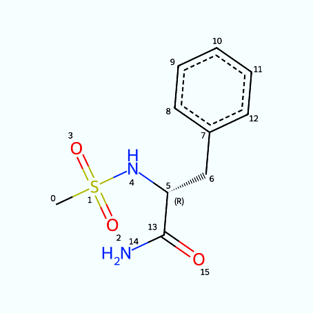 CS(=O)(=O)N[C@H](Cc1ccccc1)C(N)=O